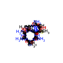 CCCCCCCC(=O)N[C@@H](CCN)C(=O)N[C@H](C(=O)N[C@@H](CCSC)C(=O)N[C@H]1CCNC(=O)[C@H]([C@@H](C)O)NC(=O)[C@H](CCN)NC(=O)[C@H](CCN)NC(=O)[C@H](CC(C)C)NC(=O)CNC(=O)[C@H](CCN)NC1=O)[C@@H](C)O